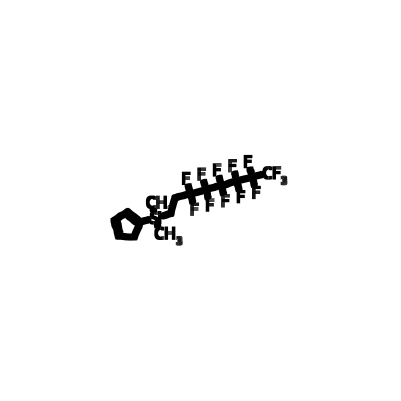 C[Si](C)(CCC(F)(F)C(F)(F)C(F)(F)C(F)(F)C(F)(F)C(F)(F)F)C1=CC=CC1